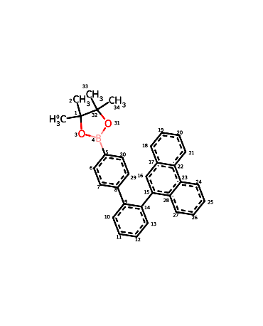 CC1(C)OB(c2ccc(-c3ccccc3-c3cc4ccccc4c4ccccc34)cc2)OC1(C)C